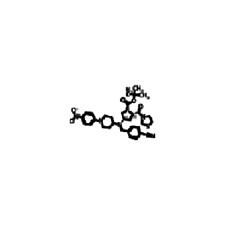 CC(C)(C)OC(=O)N1C[C@@H](N(Cc2ccc(C#N)cc2)C2CCN(c3ccc([N+](=O)[O-])cc3)CC2)C[C@H]1C(=O)N1CCSC1